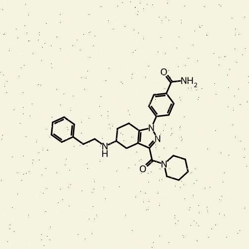 NC(=O)c1ccc(-n2nc(C(=O)N3CCCCC3)c3c2CCC(NCCc2ccccc2)C3)cc1